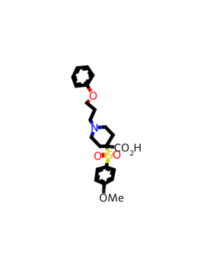 COc1ccc(S(=O)(=O)C2(C(=O)O)CCN(CCCOc3ccccc3)CC2)cc1